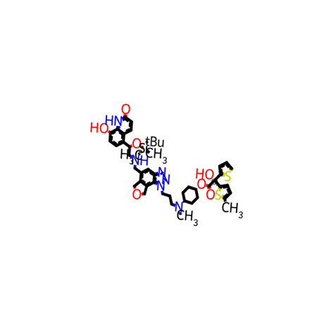 Cc1ccc([C@](O)(C(=O)O[C@H]2CC[C@H](N(C)CCCn3nnc4cc(CNCC(O[Si](C)(C)C(C)(C)C)c5ccc(O)c6[nH]c(=O)ccc56)c5c(c43)COC5)CC2)c2cccs2)s1